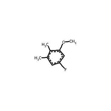 COc1cc(F)cc(C)c1C